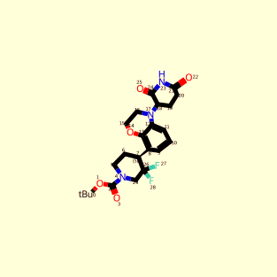 CC(C)(C)OC(=O)N1CC[C@@H](c2cccc3c2OCCN3C2CCC(=O)NC2=O)C(F)(F)C1